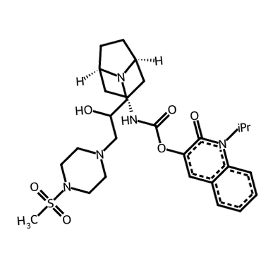 CC(C)n1c(=O)c(OC(=O)N[C@@H]2C[C@H]3CC[C@@H](C2)N3CC(O)CN2CCN(S(C)(=O)=O)CC2)cc2ccccc21